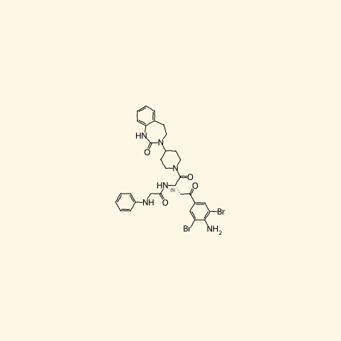 Nc1c(Br)cc(C(=O)C[C@H](NC(=O)CNc2ccccc2)C(=O)N2CCC(N3CCc4ccccc4NC3=O)CC2)cc1Br